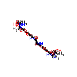 CC(NC(=O)C(C)NC(=O)CCOCCOCCOCCNC(=O)C#CC(=O)NCCOCCOCCOCCC(=O)NC(C)C(=O)NC(C)C(=O)O)C(=O)O